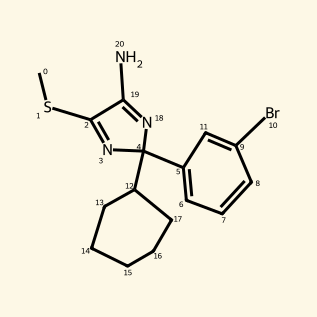 CSC1=NC(c2cccc(Br)c2)(C2CCCCC2)N=C1N